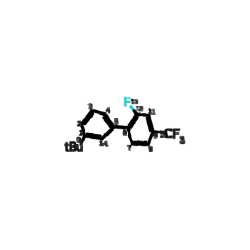 CC(C)(C)c1cccc(-c2ccc(C(F)(F)F)cc2F)c1